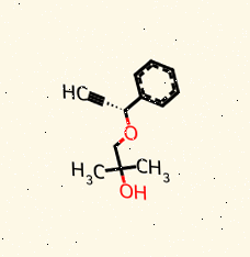 C#C[C@@H](OCC(C)(C)O)c1ccccc1